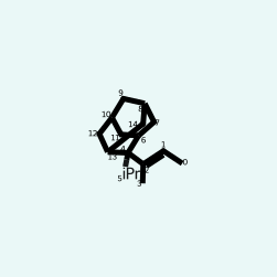 CC=C(C)C1(C(C)C)C2CC3CC(C2)CC1C3